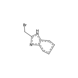 BrCc1nc2ccccc2[nH]1